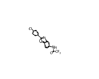 O=C(Nc1ccc2oc(-c3ccc(Cl)cc3)nc2c1)C(F)(F)F